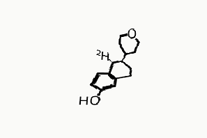 [2H][C@H]1c2ccc(O)cc2CC[C@@H]1C1CCOCC1